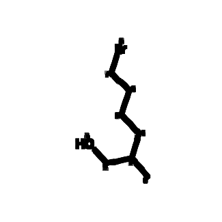 CC(CO)CCCCBr